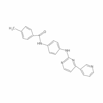 Cc1ccc(C(=O)Nc2ccc(Nc3nccc(-c4cccnc4)n3)cc2)cc1